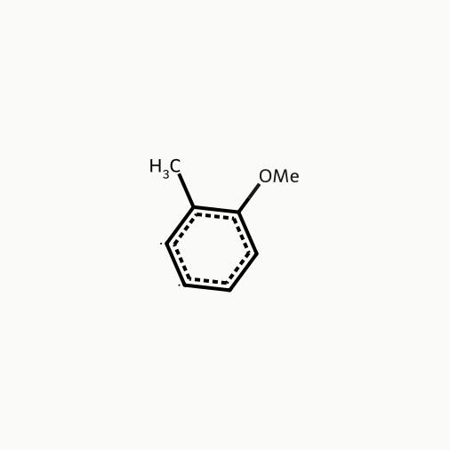 COc1cc[c][c]c1C